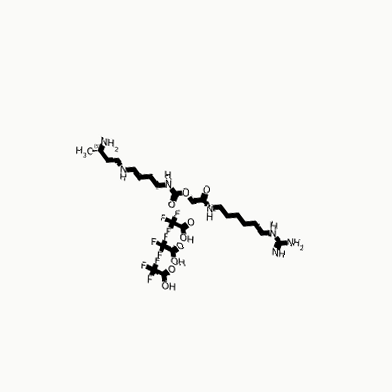 C[C@H](N)CCNCCCCNC(=O)OCC(=O)NCCCCCCNC(=N)N.O=C(O)C(F)(F)F.O=C(O)C(F)(F)F.O=C(O)C(F)(F)F